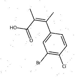 CC(C(=O)O)=C(C)c1ccc(Cl)c(Br)c1